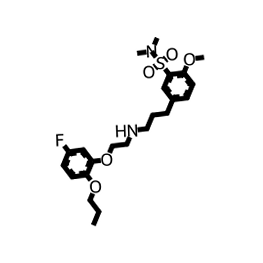 CCCOc1ccc(F)cc1OCCNCCCc1ccc(OC)c(S(=O)(=O)N(C)C)c1